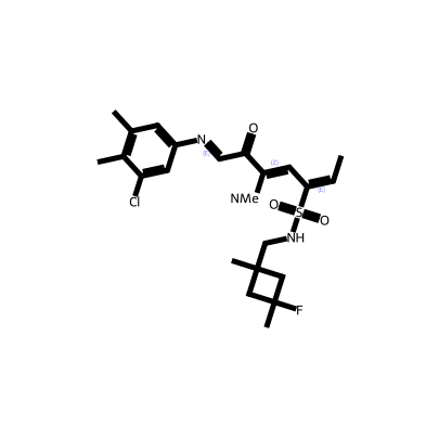 C/C=C(\C=C(/NC)C(=O)/C=N/c1cc(C)c(C)c(Cl)c1)S(=O)(=O)NCC1(C)CC(C)(F)C1